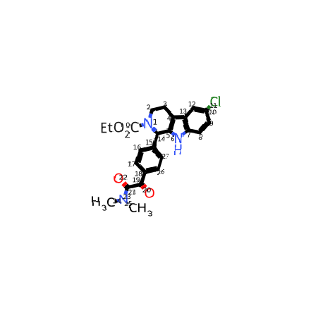 CCOC(=O)N1CCc2c([nH]c3ccc(Cl)cc23)C1c1ccc(C(=O)C(=O)N(C)C)cc1